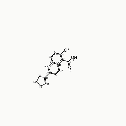 O=C(O)c1c(Cl)ccc2nc(C3=CCCC3)ccc12